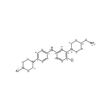 CC(=O)N1CCN(c2ccc(Nc3ncc(Cl)c(N4CCC(CN)CC4)n3)cc2)CC1